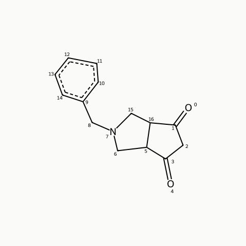 O=C1CC(=O)C2CN(Cc3ccccc3)CC12